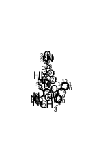 C=C(C1=C(C(=O)OC(c2ccccc2)c2ccccc2)N2C(=O)C(NC(=O)CSc3ccon3)[C@H]2SC1)c1nnnn1C